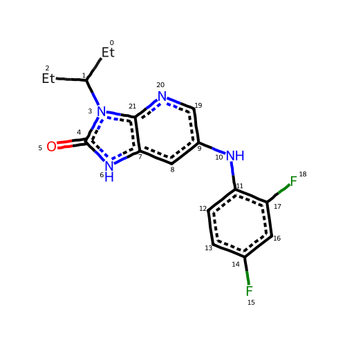 CCC(CC)n1c(=O)[nH]c2cc(Nc3ccc(F)cc3F)cnc21